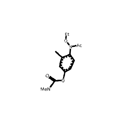 CCON(C(C)=O)c1ccc(OC(=O)NC)cc1C